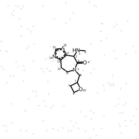 CNC1C(=O)N(CC2CCO2)CCc2ncsc21